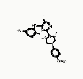 COc1ccc(N2C[C@@H](C)N(c3ncc(F)c(Nc4cc(C(C)(C)C)ccc4C)n3)[C@@H](C)C2)cc1